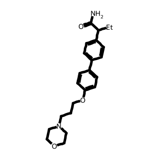 CCC(C(N)=O)c1ccc(-c2ccc(OCCCN3CCOCC3)cc2)cc1